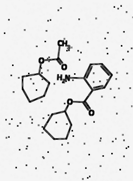 CC(=O)OC1CCCCC1.Nc1ccccc1C(=O)OC1CCCCC1